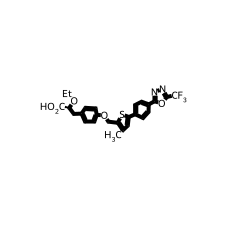 CCO[C@@H](Cc1ccc(OCc2sc(-c3ccc(-c4nnc(C(F)(F)F)o4)cc3)cc2C)cc1)C(=O)O